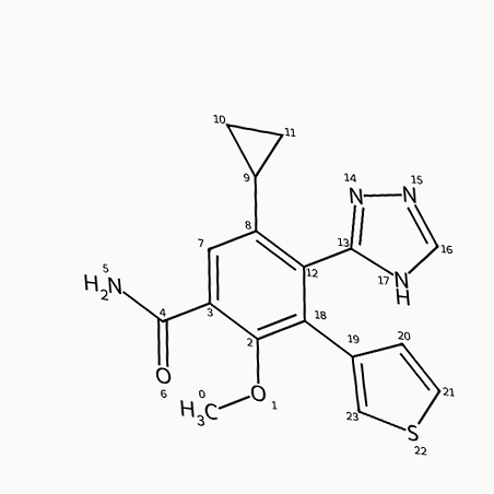 COc1c(C(N)=O)cc(C2CC2)c(-c2nnc[nH]2)c1-c1ccsc1